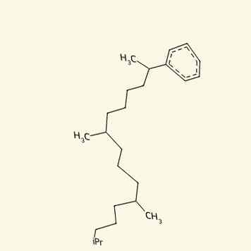 CC(C)CCCC(C)CCCC(C)CCCCC(C)c1ccccc1